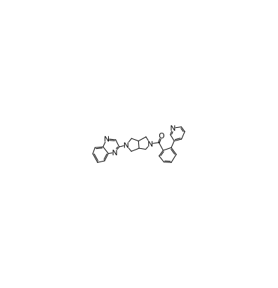 O=C(c1ccccc1-c1cccnc1)N1CC2CN(c3cnc4ccccc4n3)CC2C1